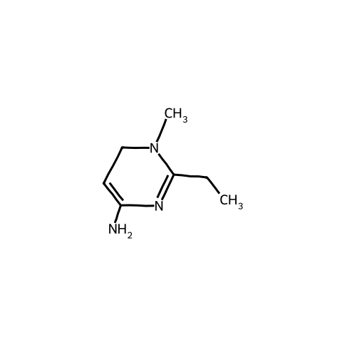 CCC1=NC(N)=CCN1C